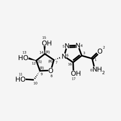 NC(=O)c1nnn([C@@H]2O[C@H](CO)[C@@H](O)[C@H]2O)c1O